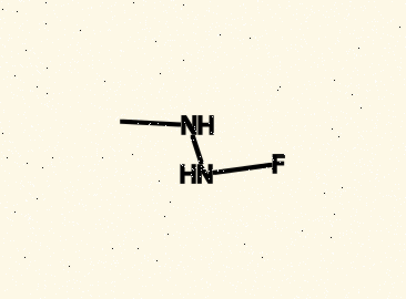 CNNF